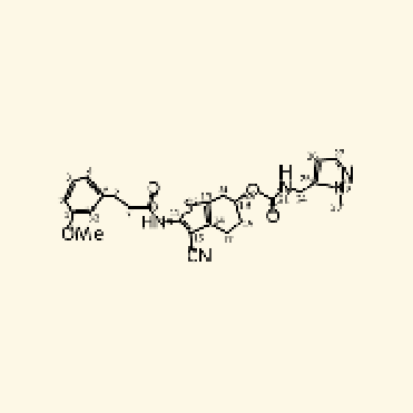 COc1cccc(CCC(=O)Nc2sc3c(c2C#N)CCC(OC(=O)NCc2ccnn2C)C3)c1